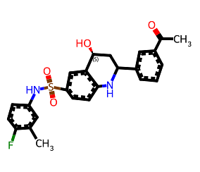 CC(=O)c1cccc(C2C[C@H](O)c3cc(S(=O)(=O)Nc4ccc(F)c(C)c4)ccc3N2)c1